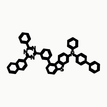 C1=Cc2ccc(-c3nc(-c4ccccc4)nc(-c4cccc(C5=c6c(sc7cc(N(c8ccccc8)c8ccc(-c9ccccc9)cc8)ccc67)=CCC5)c4)n3)cc2CC1